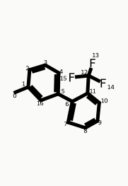 Cc1cccc(-c2ccccc2C(F)(F)F)c1